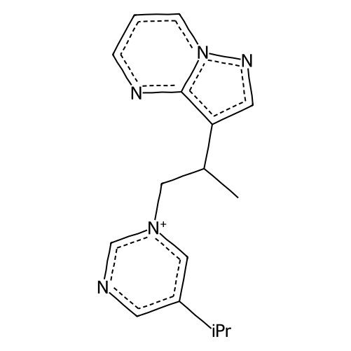 CC(C)c1cnc[n+](CC(C)c2cnn3cccnc23)c1